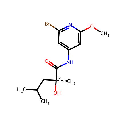 COc1cc(NC(=O)[C@@](C)(O)CC(C)C)cc(Br)n1